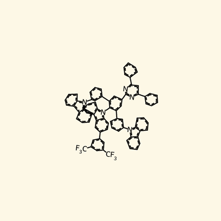 FC(F)(F)c1cc(-c2ccc3c(c2)c2ccccc2n3-c2c(-c3cccc(-n4c5ccccc5c5ccccc54)c3)cc(-c3nc(-c4ccccc4)cc(-c4ccccc4)n3)cc2-c2cccc(-n3c4ccccc4c4ccccc43)c2)cc(C(F)(F)F)c1